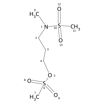 CN(CCCOS(C)(=O)=O)S(C)(=O)=O